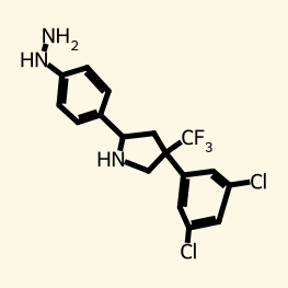 NNc1ccc(C2CC(c3cc(Cl)cc(Cl)c3)(C(F)(F)F)CN2)cc1